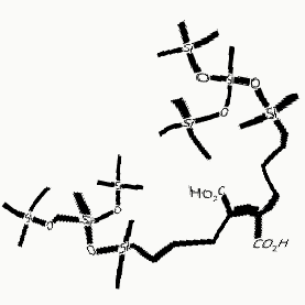 C[Si](C)(C)O[Si](C)(O[Si](C)(C)C)O[Si](C)(C)CCCC(C(=O)O)=C(CCC[Si](C)(C)O[Si](C)(O[Si](C)(C)C)O[Si](C)(C)C)C(=O)O